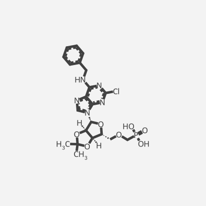 CC1(C)O[C@@H]2[C@H](O1)[C@@H](COCP(=O)(O)O)O[C@H]2n1cnc2c(NCc3ccccc3)nc(Cl)nc21